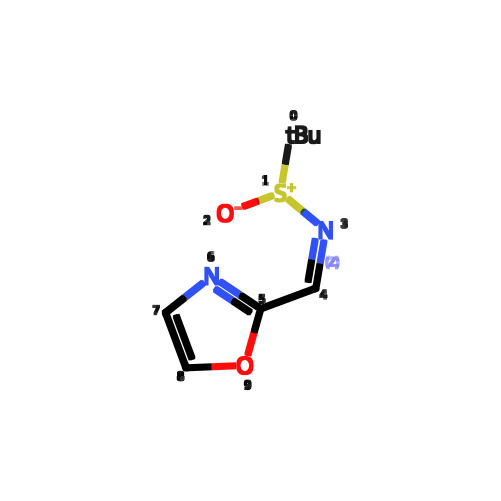 CC(C)(C)[S+]([O-])/N=C\c1ncco1